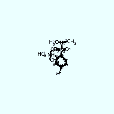 CN(C)S(=O)(=O)c1ccc(F)cc1.CNC.Cl